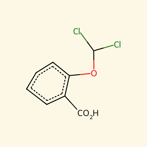 O=C(O)c1ccccc1OC(Cl)Cl